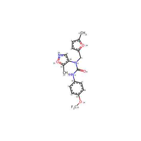 Cc1ccc(CN(C(=O)Nc2ccc(OC(F)(F)F)cc2)c2cnoc2C)o1